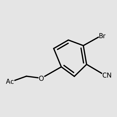 CC(=O)COc1ccc(Br)c(C#N)c1